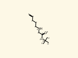 C=CCCCNCC(=O)OC(C)(C)C